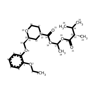 CCOc1ccccc1OC[C@@H]1CN(C(=O)OC(C)OC(=O)[C@@H](C)C(C)C)CCO1